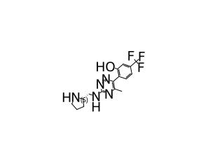 Cc1nc(NC[C@@H]2CCCN2)nnc1-c1ccc(C(F)(F)F)cc1O